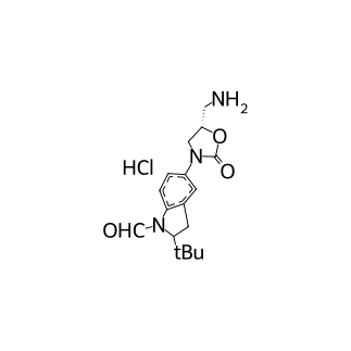 CC(C)(C)C1Cc2cc(N3C[C@H](CN)OC3=O)ccc2N1C=O.Cl